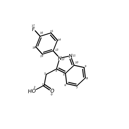 O=C(O)Cc1c2ccccc2nn1-c1ccc(F)cc1